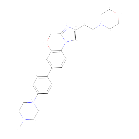 CCN1CCN(c2ccc(-c3ccc4c(c3)OCc3nc(CCN5CCOCC5)cn3-4)cc2)CC1